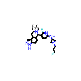 C[C@@H]1Cc2c(ccc3[nH]ncc23)C(c2ccc(NC3CN(CCCF)C3)nc2F)N1CC(F)(F)F